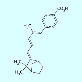 CC(C=CC=C1C2CCC(C2)C1(C)C)=Cc1ccc(C(=O)O)cc1